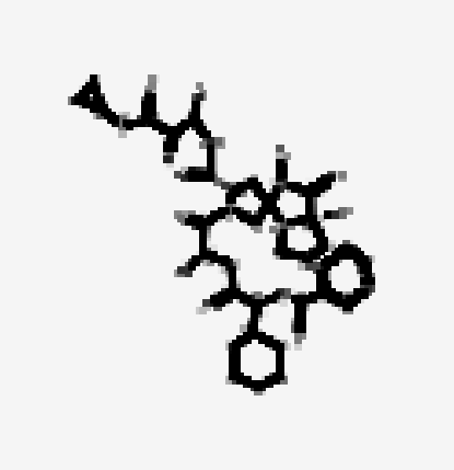 CCCCC(NC(=O)[C@@H]1CC2(CN1C(=O)[C@@H](NC(=O)[C@@H](NC(=O)c1cnccn1)C1CCCCC1)C(C)(C)C)N(CC)C(=O)[C@H]1CCCN12)C(=O)C(=O)NC1CC1